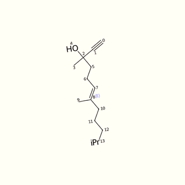 C#CC(C)(O)CC/C=C(\C)CCCC(C)C